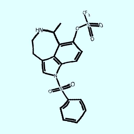 CC1NCCc2cn(S(=O)(=O)c3ccccc3)c3ccc(OS(=O)(=O)C(F)(F)F)c1c23